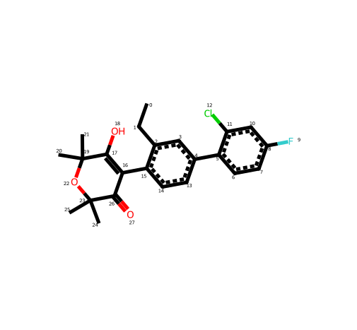 CCc1cc(-c2ccc(F)cc2Cl)ccc1C1=C(O)C(C)(C)OC(C)(C)C1=O